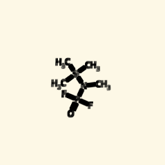 CN([Si](C)(C)C)P(=O)(F)F